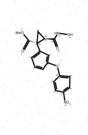 COC(=O)[C@]1(c2cccc(Oc3ccc([N+](=O)[O-])cc3)c2)C[C@H]1C(=O)NO